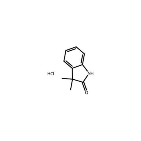 CC1(C)C(=O)Nc2ccccc21.Cl